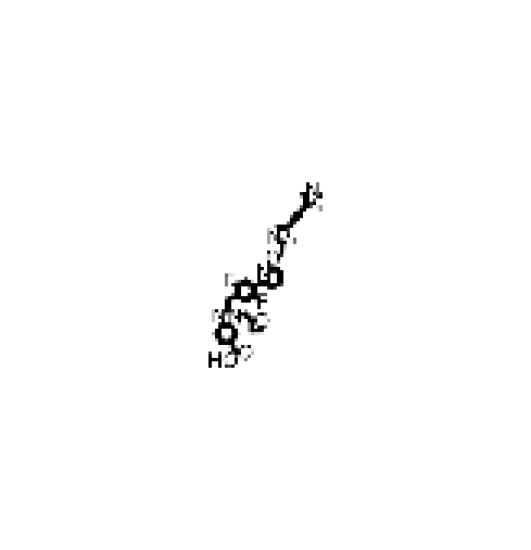 O=C(O)c1ccc2nc(Cc3cc(F)c(-c4cccc(OCc5ncc(C#Cc6cncs6)s5)n4)cc3F)n(CC3CCO3)c2c1